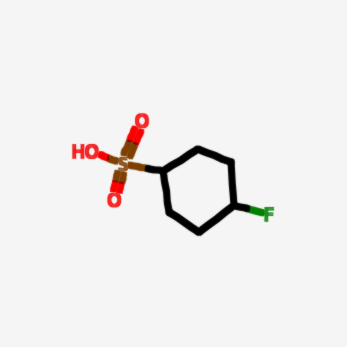 O=S(=O)(O)C1CCC(F)CC1